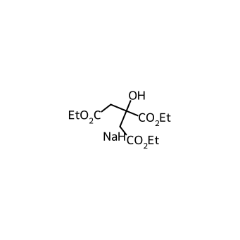 CCOC(=O)CC(O)(CC(=O)OCC)C(=O)OCC.[NaH]